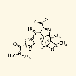 C#[SH](C1C(C(=O)O)=N[C@@](C)([C@@H]2C(=O)O[C@@H]2C)[C@H]1C)[C@@H]1CN[C@H](C(=O)N(C)C)C1